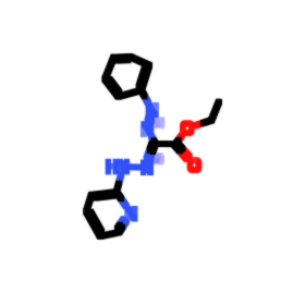 CCOC(=O)C(=N/Nc1ccccn1)/N=N/c1ccccc1